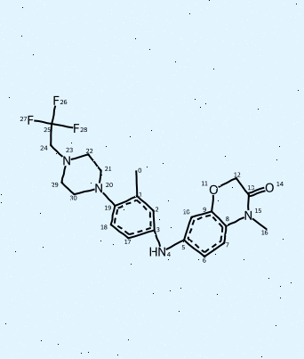 Cc1cc(Nc2ccc3c(c2)OCC(=O)N3C)ccc1N1CCN(CC(F)(F)F)CC1